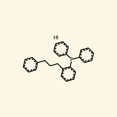 I.c1ccc(CCCc2ccccc2P(c2ccccc2)c2ccccc2)cc1